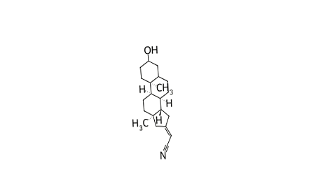 C[C@]12CC[C@@H]3[C@@H](CCC4CC(O)CC[C@@]43C)[C@@H]1CC(=CC#N)C2